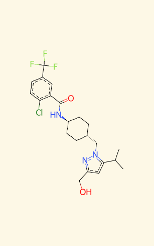 CC(C)c1cc(CO)nn1C[C@H]1CC[C@H](NC(=O)c2cc(C(F)(F)F)ccc2Cl)CC1